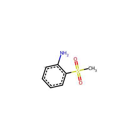 CS(=O)(=O)c1ccc[c]c1N